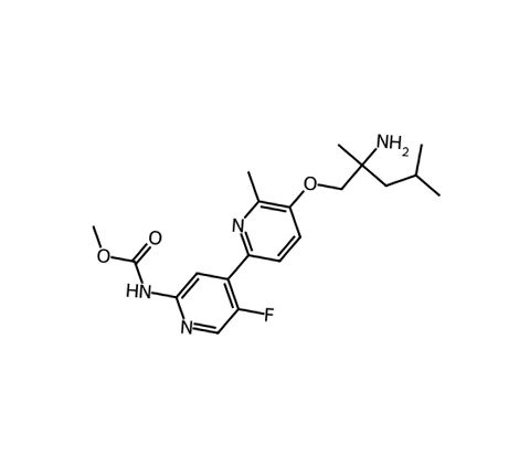 COC(=O)Nc1cc(-c2ccc(OCC(C)(N)CC(C)C)c(C)n2)c(F)cn1